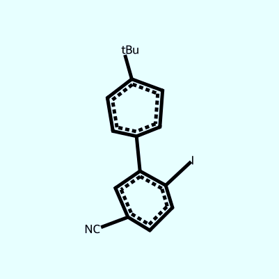 CC(C)(C)c1ccc(-c2cc(C#N)ccc2I)cc1